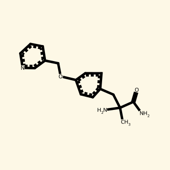 CC(N)(Cc1ccc(OCc2cccnc2)cc1)C(N)=O